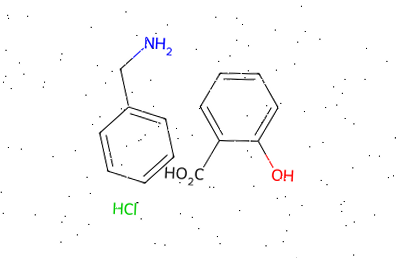 Cl.NCc1ccccc1.O=C(O)c1ccccc1O